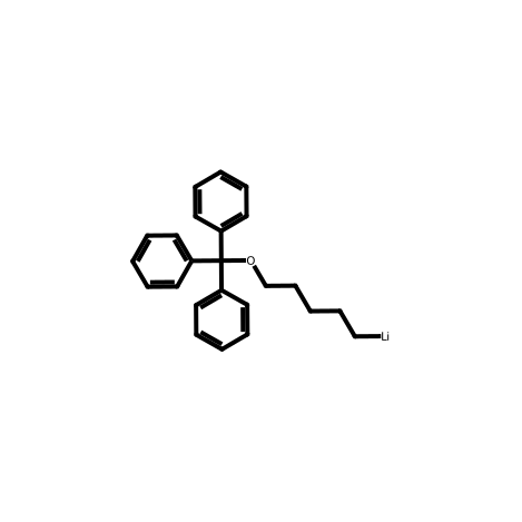 [Li][CH2]CCCCOC(c1ccccc1)(c1ccccc1)c1ccccc1